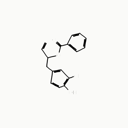 C=CC(Cc1ccc(O)c(Cl)c1)OC(=O)c1ccccc1